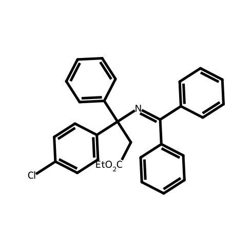 CCOC(=O)CC(N=C(c1ccccc1)c1ccccc1)(c1ccccc1)c1ccc(Cl)cc1